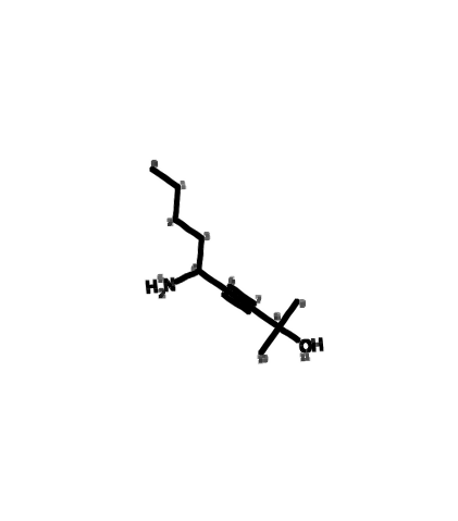 CCCCC(N)C#CC(C)(C)O